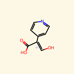 O=C(O)/C(=C/O)c1ccncc1